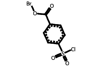 O=C(OBr)c1ccc(S(=O)(=O)Cl)cc1